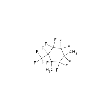 CC1(F)C(F)(F)C(C)(F)C(F)(C(F)(F)F)C(F)(F)C1(F)F